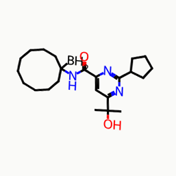 BC1(NC(=O)c2cc(C(C)(C)O)nc(C3CCCC3)n2)CCCCCCCCC1